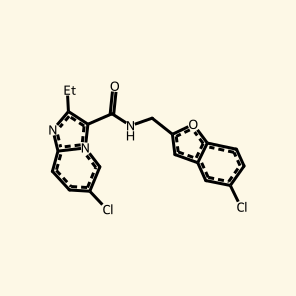 CCc1nc2ccc(Cl)cn2c1C(=O)NCc1cc2cc(Cl)ccc2o1